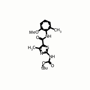 COc1cccc(C)c1NC(=O)c1sc(NC(=O)OC(C)(C)C)nc1C